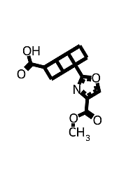 COC(=O)c1coc(C23C4C5C2C2C3C4C52C(=O)O)n1